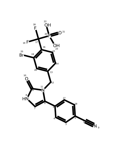 N#Cc1ccc(-c2c[nH]c(=O)n2Cc2ccc(C(F)(F)P(=O)(O)O)c(Br)c2)cc1